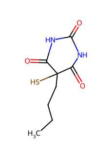 CCCCC1(S)C(=O)NC(=O)NC1=O